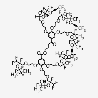 CC(F)(COCCOc1cc(C(=O)CCCOC(=O)c2cc(OCCOCC(F)(OC(F)(F)C(C)(C)F)C(F)F)c(OCCOCC(F)(OC(F)(F)C(C)(C)F)C(F)F)c(OCCOCC(F)(OC(F)(F)C(C)(C)F)C(F)(F)F)c2)cc(OCCOCC(C)(F)OC(F)(F)C(F)(OC#CC(F)(F)F)C(F)(F)F)c1OCCOCC(C)(F)OC(F)(F)C(F)(OC#CC(F)(F)F)C(F)(F)F)OC(F)(F)C(F)(OC#CC(F)(F)F)C(F)(F)F